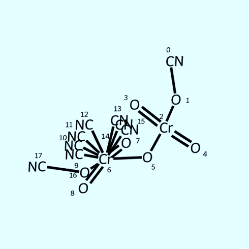 N#C[O][Cr](=[O])(=[O])[O][Cr](=[O])(=[O])([C]#N)([C]#N)([C]#N)([C]#N)([C]#N)([C]#N)([C]#N)[O]C#N